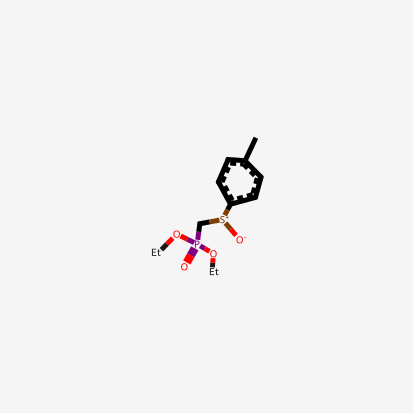 CCOP(=O)(C[S+]([O-])c1ccc(C)cc1)OCC